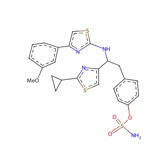 COc1cccc(-c2csc(NC(Cc3ccc(OS(N)(=O)=O)cc3)c3csc(C4CC4)n3)n2)c1